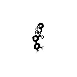 O=C(NCc1cccc[n+]1[O-])c1cccc(-c2ccc(F)c(F)c2)c1